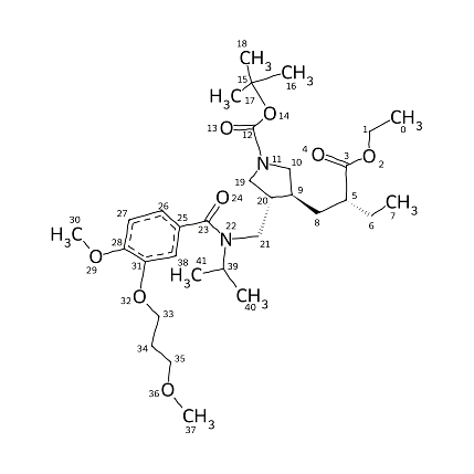 CCOC(=O)[C@H](CC)C[C@@H]1CN(C(=O)OC(C)(C)C)C[C@H]1CN(C(=O)c1ccc(OC)c(OCCCOC)c1)C(C)C